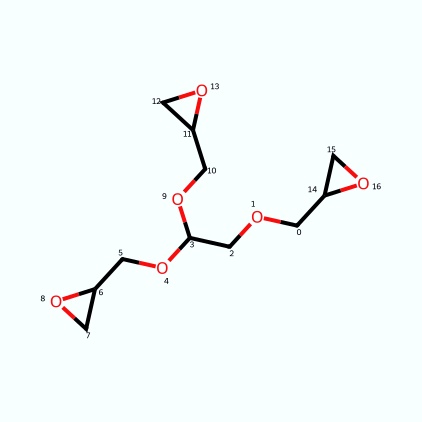 C(OCC(OCC1CO1)OCC1CO1)C1CO1